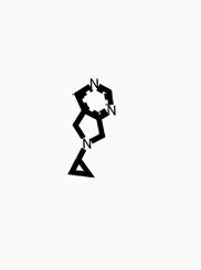 [c]1ncnc2c1CN(C1CC1)C2